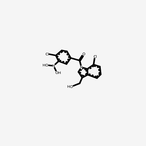 O=C(c1ccc(Cl)c(N(O)O)c1)n1cc(CO)c2cccc(Cl)c21